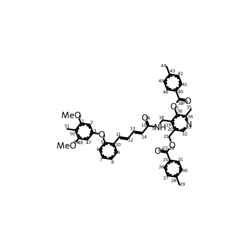 COc1cc(Oc2ccccc2C=CC=CC(=O)NCc2c(COC(=O)c3ccc(C)cc3)cnc(C)c2OC(=O)c2ccc(C)cc2)cc(OC)c1C